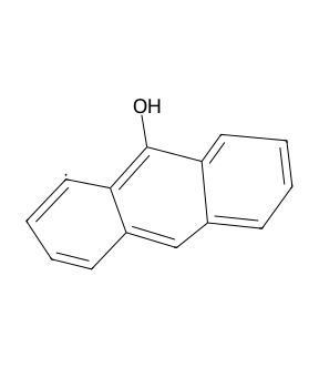 Oc1c2[c]cccc2cc2ccccc12